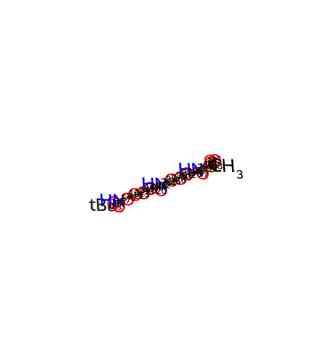 CC(C)(C)OC(=O)NCCOCCOCCOCCOCCC(=O)NCCCOCCOCCOCCCNC(=O)CCCSS(C)(=O)=O